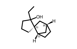 CCC1(O)CCC[C@@]12C[C@@H]1CC[C@H]2C1